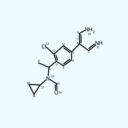 CC(c1ccc(/C(C=N)=C/N)cc1Cl)N(C=O)C1CC1